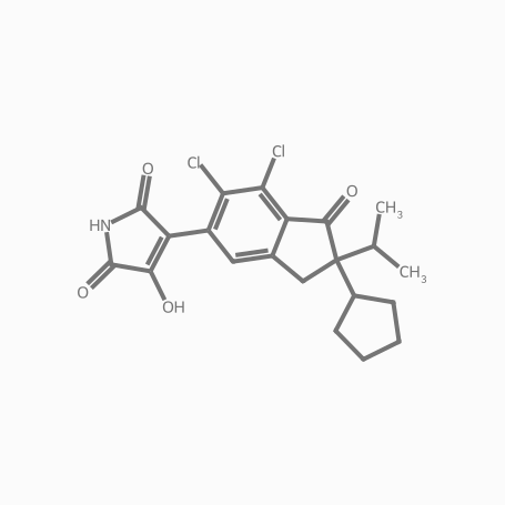 CC(C)C1(C2CCCC2)Cc2cc(C3=C(O)C(=O)NC3=O)c(Cl)c(Cl)c2C1=O